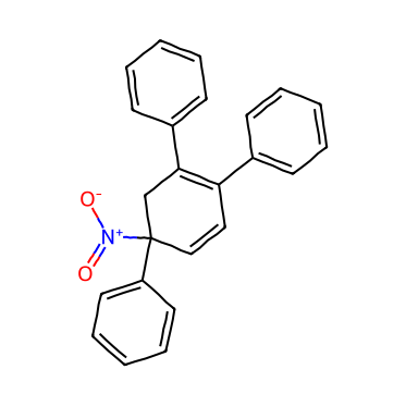 O=[N+]([O-])C1(c2ccccc2)C=CC(c2ccccc2)=C(c2ccccc2)C1